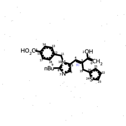 C=C(O)/C(=C/c1cnc(CCCC)n1Cc1ccc(C(=O)O)cc1)Cc1cccs1